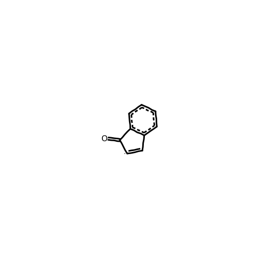 O=C1[C]=Cc2ccccc21